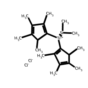 CC1=C(C)C(C)[C]([Ti+2]([C]2=C(C)C(C)=C(C)C2C)=[Si](C)C)=C1C.[Cl-].[Cl-]